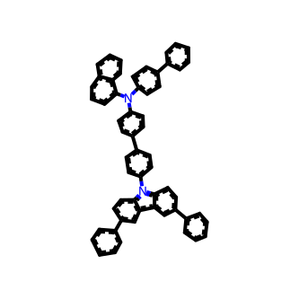 c1ccc(-c2ccc(N(c3ccc(-c4ccc(-n5c6ccc(-c7ccccc7)cc6c6cc(-c7ccccc7)ccc65)cc4)cc3)c3cccc4ccccc34)cc2)cc1